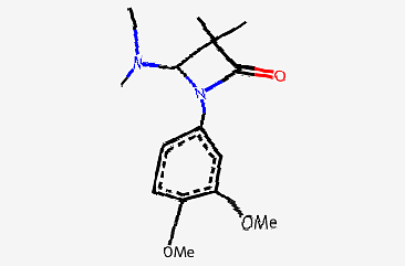 COc1ccc(N2C(=O)C(C)(C)C2N(C)C)cc1OC